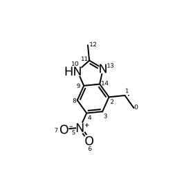 C[CH]c1cc([N+](=O)[O-])cc2[nH]c(C)nc12